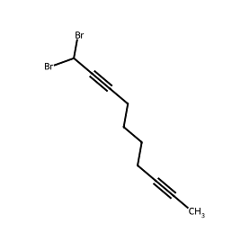 CC#CCCCCC#CC(Br)Br